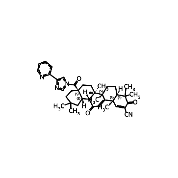 CC1(C)CC[C@]2(C(=O)n3cnc(-c4ccccn4)c3)CC[C@]3(C)[C@H](C(=O)C=C4[C@@]5(C)C=C(C#N)C(=O)C(C)(C)[C@@H]5CC[C@]43C)[C@@H]2C1